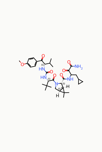 COc1ccc(C(=O)[C@@H](NC(=O)N[C@H](C(=O)N2C[C@H]3[C@@H]([C@H]2C(=O)NC(CC2CC2)C(=O)C(N)=O)C3(C)C)C(C)(C)C)C(C)C)cc1